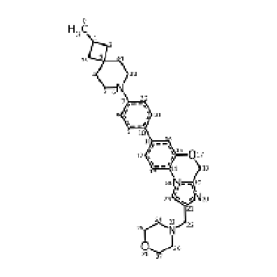 CC1CC2(CCN(c3ccc(-c4ccc5c(c4)OCc4nc(CN6CCOCC6)cn4-5)cc3)CC2)C1